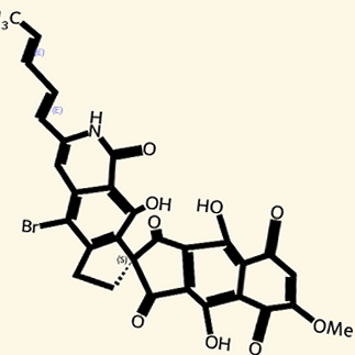 C/C=C/C=C/c1cc2c(Br)c3c(c(O)c2c(=O)[nH]1)[C@@]1(CC3)C(=O)c2c(O)c3c(c(O)c2C1=O)C(=O)C(OC)=CC3=O